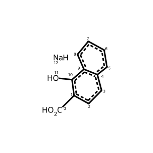 O=C(O)c1ccc2ccccc2c1O.[NaH]